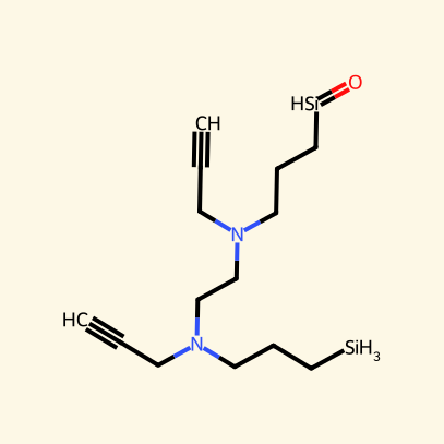 C#CCN(CCC[SiH3])CCN(CC#C)CCC[SiH]=O